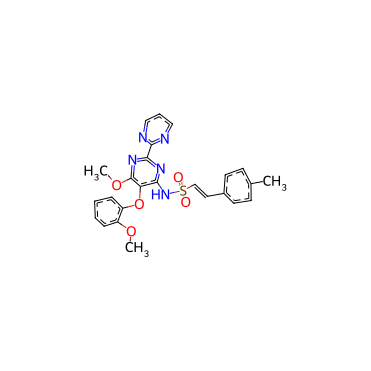 COc1ccccc1Oc1c(NS(=O)(=O)/C=C/c2ccc(C)cc2)nc(-c2ncccn2)nc1OC